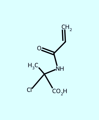 C=CC(=O)NC(C)(Cl)C(=O)O